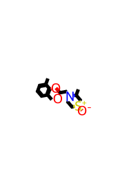 Cc1cccc(C)c1OC(=O)CN1CC[S+]([O-])CC1C